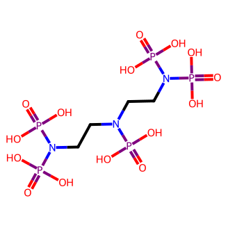 O=P(O)(O)N(CCN(P(=O)(O)O)P(=O)(O)O)CCN(P(=O)(O)O)P(=O)(O)O